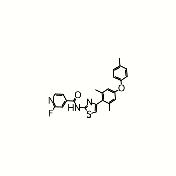 Cc1ccc(Oc2cc(C)c(-c3csc(NC(=O)c4ccnc(F)c4)n3)c(C)c2)cc1